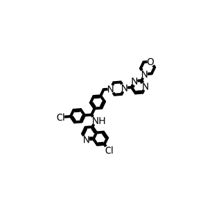 Clc1ccc(C(Nc2ccnc3cc(Cl)ccc23)c2ccc(CN3CCN(c4ccnc(N5CCOCC5)n4)CC3)cc2)cc1